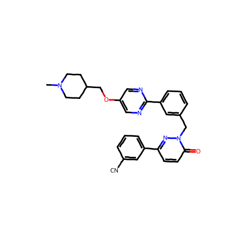 [C-]#[N+]c1cccc(-c2ccc(=O)n(Cc3cccc(-c4ncc(OCC5CCN(C)CC5)cn4)c3)n2)c1